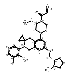 C=CC(=O)N1CCN(c2nc(OC[C@@H]3CCCN3C)nc3c2CC2(CC2)N(c2cncc(F)c2C(F)(F)F)C3)C[C@@H]1CC#N